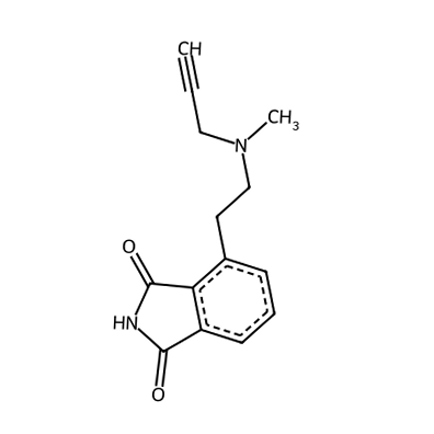 C#CCN(C)CCc1cccc2c1C(=O)NC2=O